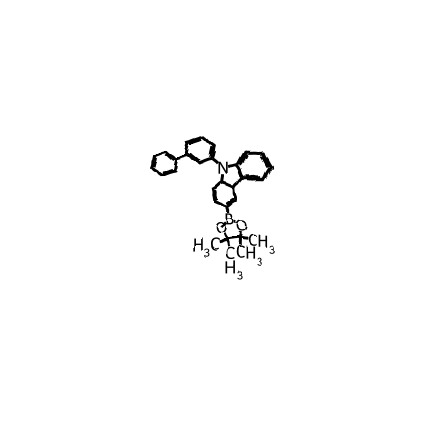 CC1(C)OB(C2=CC3c4ccccc4N(c4cccc(-c5ccccc5)c4)C3C=C2)OC1(C)C